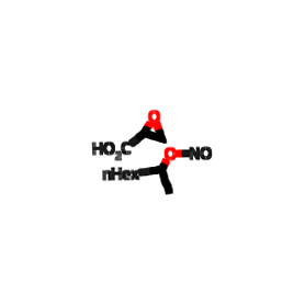 CCCCCCC(C)ON=O.O=C(O)C1CO1